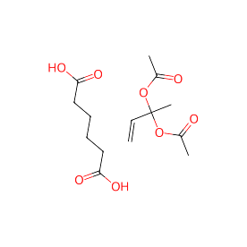 C=CC(C)(OC(C)=O)OC(C)=O.O=C(O)CCCCC(=O)O